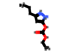 CCCc1cc(OC(=O)OCC)[nH]n1